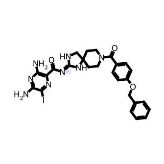 Nc1nc(N)c(C(=O)/N=C2\NCC3(CCN(C(=O)c4ccc(OCc5ccccc5)cc4)CC3)N2)nc1I